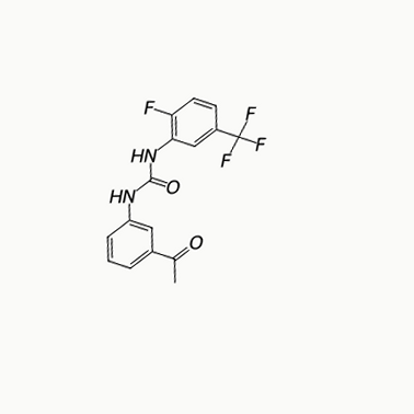 CC(=O)c1cccc(NC(=O)Nc2cc(C(F)(F)F)ccc2F)c1